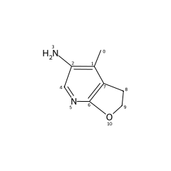 Cc1c(N)cnc2c1CCO2